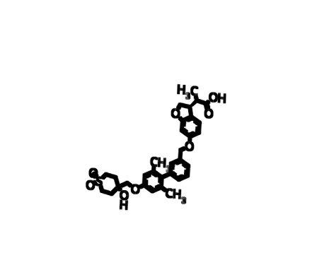 Cc1cc(OCC2(O)CCS(=O)(=O)CC2)cc(C)c1-c1cccc(COc2ccc3c(c2)OC[C@H]3C(C)C(=O)O)c1